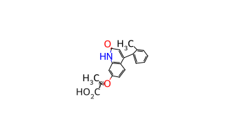 Cc1ccccc1-c1cc(=O)[nH]c2cc(O[C@H](C)C(=O)O)ccc12